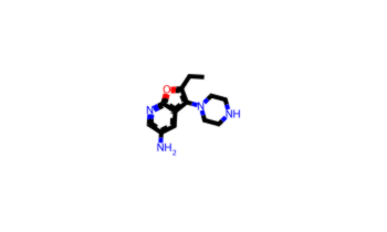 CCc1oc2ncc(N)cc2c1N1CCNCC1